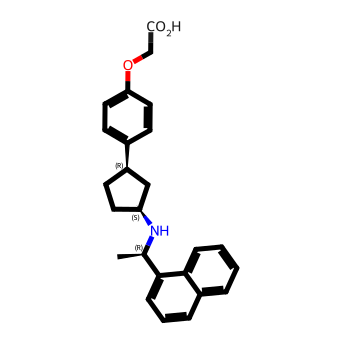 C[C@@H](N[C@H]1CC[C@@H](c2ccc(OCC(=O)O)cc2)C1)c1cccc2ccccc12